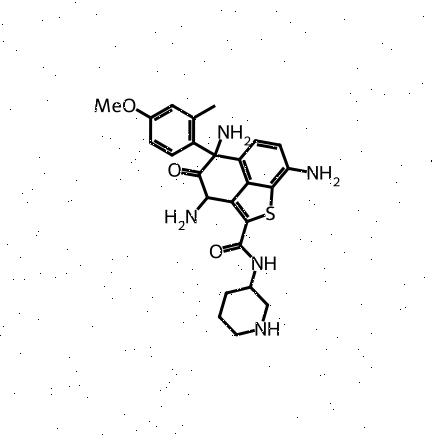 COc1ccc(C2(N)C(=O)C(N)c3c(C(=O)NC4CCCNC4)sc4c(N)ccc2c34)c(C)c1